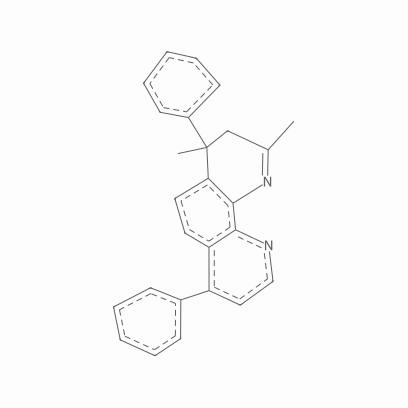 CC1=Nc2c(ccc3c(-c4ccccc4)ccnc23)C(C)(c2ccccc2)C1